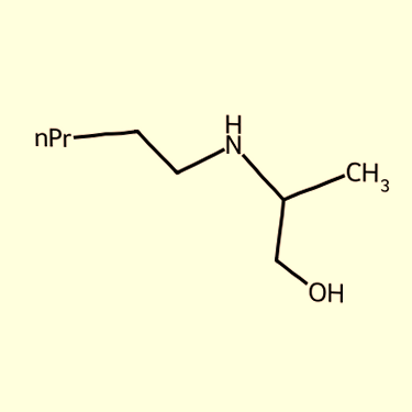 CCCCCNC(C)CO